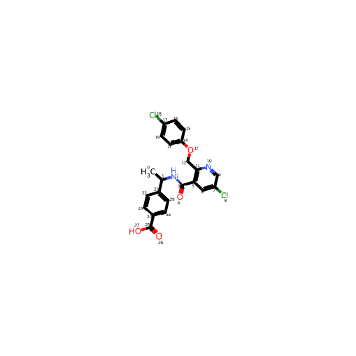 CC(NC(=O)c1cc(Cl)cnc1COc1ccc(Cl)cc1)c1ccc(C(=O)O)cc1